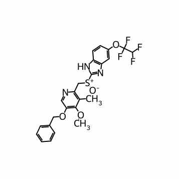 COc1c(OCc2ccccc2)cnc(C[S+]([O-])c2nc3cc(OC(F)(F)C(F)F)ccc3[nH]2)c1C